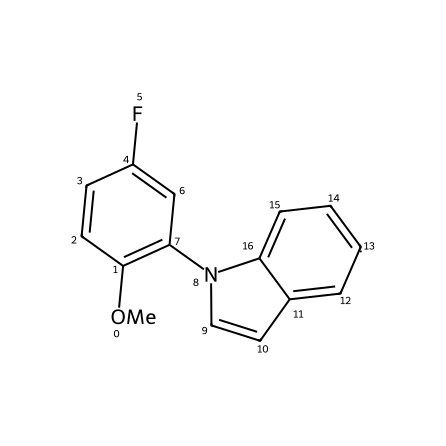 COc1ccc(F)cc1-n1ccc2c[c]ccc21